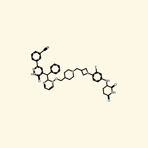 N#Cc1cccc(-c2cc(C(c3ccccc3)C3N=CC=CN3OCC3CCN(CC4CN(c5ccc(NC6CCC(=O)NC6=O)cc5F)C4)CC3)c(=O)[nH]n2)c1